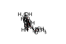 CC(C)Oc1ccccc1[C@@H]1COCCCN1C1CC2(CCN(c3ccc(C(=O)NS(=O)(=O)c4cc5c(c([N+](=O)[O-])c4)N[C@@H](C4(F)CCC(C)(O)CC4)CO5)c(N4c5cc6cc[nH]c6nc5O[C@H]5COCC[C@@H]54)c3)CC2)C1